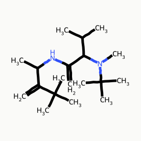 C=C(NC(C)C(=C)C(C)(C)C)C(C(C)C)N(C)C(C)(C)C